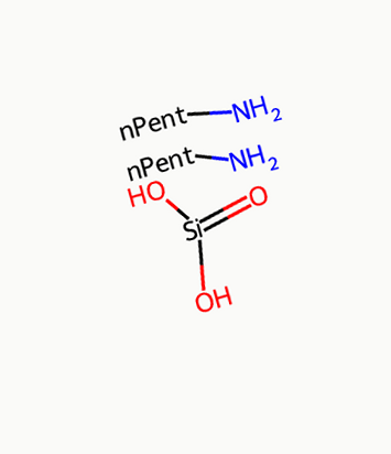 CCCCCN.CCCCCN.O=[Si](O)O